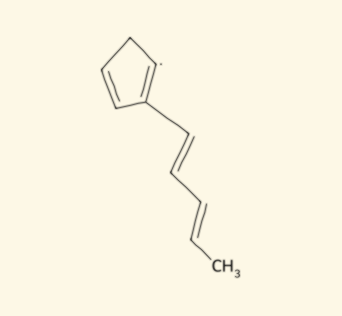 CC=CC=CC1=[C]CC=C1